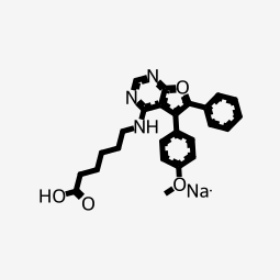 COc1ccc(-c2c(-c3ccccc3)oc3ncnc(NCCCCCC(=O)O)c23)cc1.[Na]